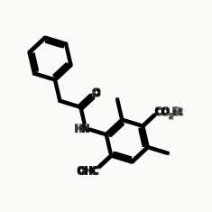 CCOC(=O)c1c(C)cc(C=O)c(NC(=O)Cc2ccccc2)c1C